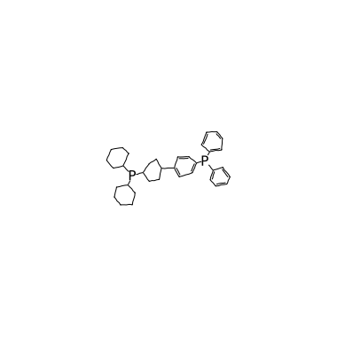 c1ccc(P(c2ccccc2)c2ccc(C3CCC(P(C4CCCCC4)C4CCCCC4)CC3)cc2)cc1